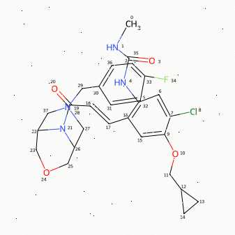 CNC(=O)Nc1cc(Cl)c(OCC2CC2)cc1/C=C/C(=O)N1C2COCC1CN(Cc1ccc(F)cc1)C2